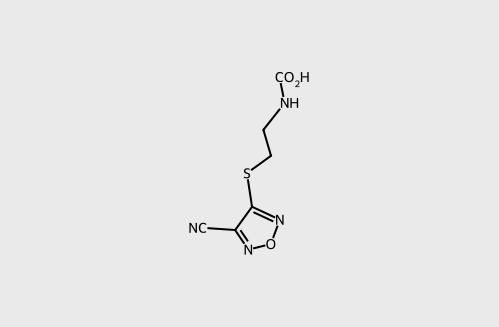 N#Cc1nonc1SCCNC(=O)O